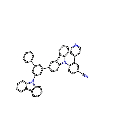 N#Cc1ccc(-n2c3ccccc3c3cc(-c4cc(-c5ccccc5)cc(-n5c6ccccc6c6ccccc65)c4)ccc32)c(-c2ccncc2)c1